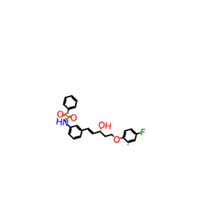 O=S(=O)(Nc1cccc(/C=C/[C@H](O)CCOc2[c]cc(F)cc2)c1)c1ccccc1